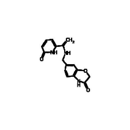 C=C(NCc1ccc2c(c1)OCC(=O)N2)c1cccc(=O)[nH]1